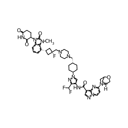 Cn1c(=O)n(C2CCC(=O)NC2=O)c2cccc([C@H]3C[C@](F)(CN4CCN(C[C@H]5CC[C@H](n6cc(NC(=O)c7cnn8ccc(N9CC%10C[C@@H]9CO%10)nc78)c(C(F)F)n6)CC5)CC4)C3)c21